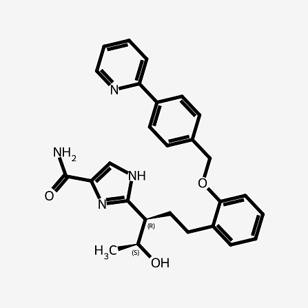 C[C@H](O)[C@H](CCc1ccccc1OCc1ccc(-c2ccccn2)cc1)c1nc(C(N)=O)c[nH]1